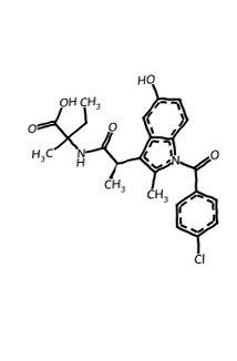 CCC(C)(NC(=O)[C@H](C)c1c(C)n(C(=O)c2ccc(Cl)cc2)c2ccc(O)cc12)C(=O)O